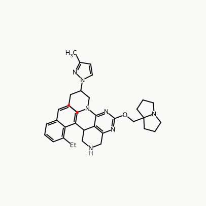 CCc1cccc2cccc(C3CNCc4nc(OCC56CCCN5CCC6)nc(N5CCCC(n6ccc(C)n6)C5)c43)c12